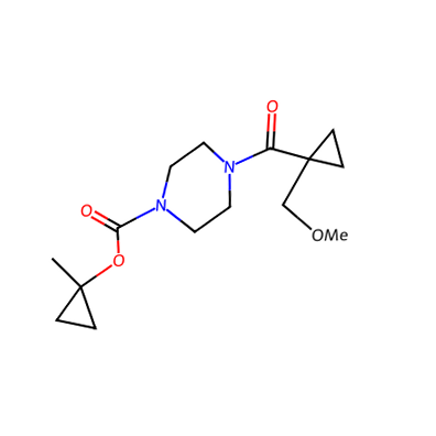 COCC1(C(=O)N2CCN(C(=O)OC3(C)CC3)CC2)CC1